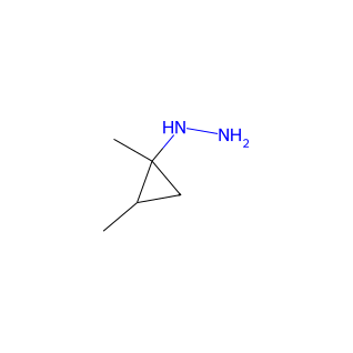 CC1CC1(C)NN